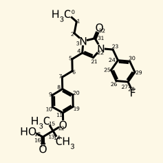 CCCn1c(CCCc2ccc(OC(C)(C)C(=O)O)cc2)cn(Cc2ccc(F)cc2)c1=O